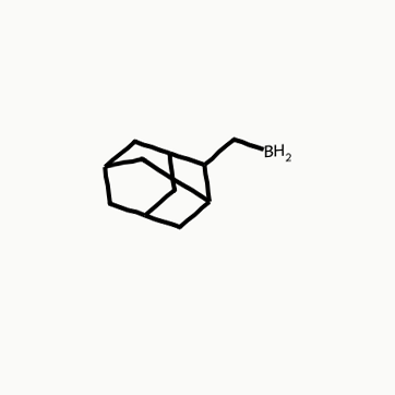 BCC1C2CC3CC(C2)CC1C3